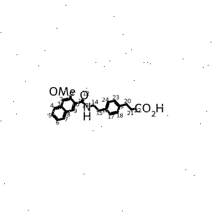 COc1cc2ccccc2cc1C(=O)NCCc1ccc(CCC(=O)O)cc1